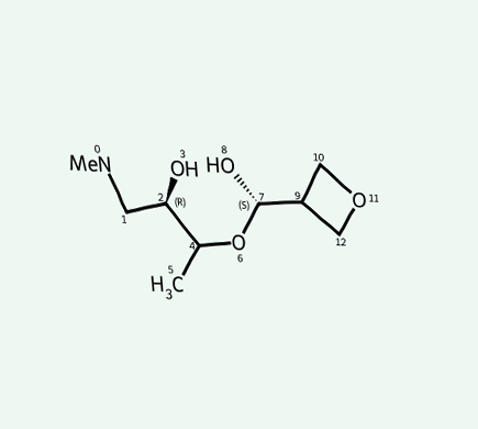 CNC[C@@H](O)C(C)O[C@H](O)C1COC1